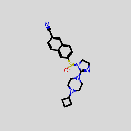 N#Cc1ccc2cc([S+]([O-])N3CCN=C3N3CCN(C4CCC4)CC3)ccc2c1